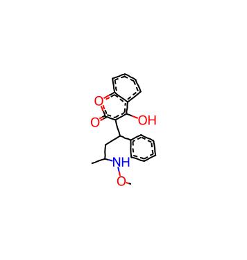 CONC(C)CC(c1ccccc1)c1c(O)c2ccccc2oc1=O